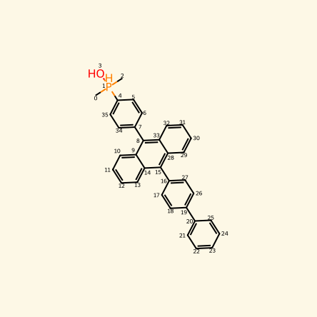 C[PH](C)(O)c1ccc(-c2c3ccccc3c(-c3ccc(-c4ccccc4)cc3)c3ccccc23)cc1